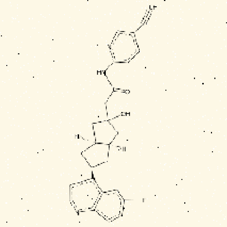 C#Cc1ccc(NC(=O)CC2(O)C[C@H]3C[C@@H](c4ccnc5ccc(F)cc45)C[C@H]3C2)nc1